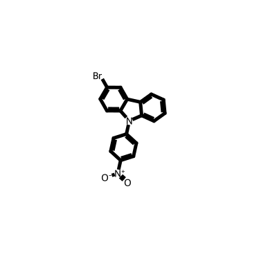 O=[N+]([O-])c1ccc(-n2c3ccccc3c3cc(Br)ccc32)cc1